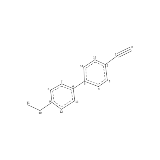 C#Cc1ccc(-c2ccc(CC)cc2)cc1